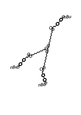 CCCCOc1ccc(-c2ccc(C=CC(=O)OCCCCCCCCCCOCC(COCCCCCCCCCCOC(=O)C=Cc3ccc(-c4ccc(OCCCC)cc4)cc3)OCCCCCCCCCCOC(=O)C=Cc3ccc(-c4ccc(OCCCC)cc4)cc3)cc2)cc1